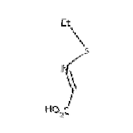 CCSN=CC(=O)O